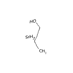 CCCO.[SrH2]